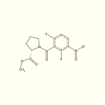 COC(=O)[C@@H]1CCCN1C(=O)c1c(F)ccc([N+](=O)[O-])c1F